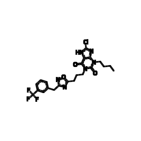 CCCCn1c(=O)n(CCCc2nc(Cc3cccc(C(F)(F)F)c3)no2)c(=O)c2[nH]c(Cl)nc21